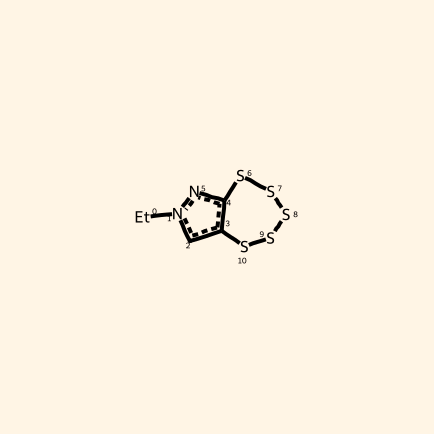 CCn1cc2c(n1)SSSSS2